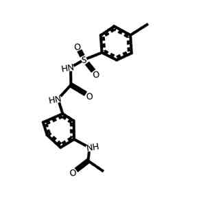 CC(=O)Nc1cccc(NC(=O)NS(=O)(=O)c2ccc(C)cc2)c1